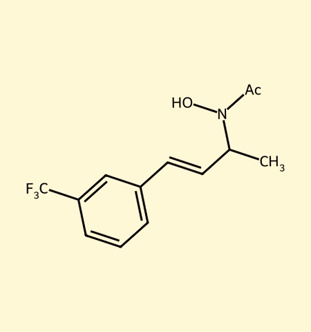 CC(=O)N(O)C(C)C=Cc1cccc(C(F)(F)F)c1